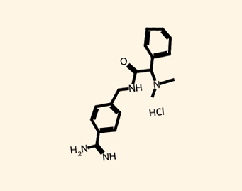 CN(C)C(C(=O)NCc1ccc(C(=N)N)cc1)c1ccccc1.Cl